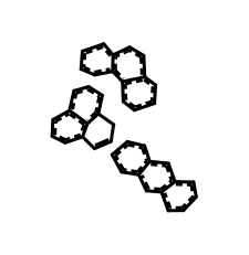 C1=Cc2cccc3cccc(c23)C1.c1ccc2c(c1)ccc1ccccc12.c1ccc2cc3ccccc3cc2c1